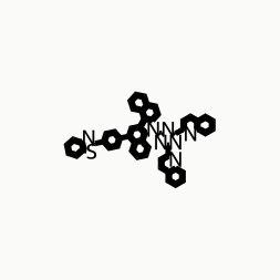 c1ccc2nc(-c3nc(-c4ccc5ccccc5n4)nc(-n4c5ccc6ccccc6c5c5cc(-c6ccc(-c7nc8ccccc8s7)cc6)c6ccccc6c54)n3)ccc2c1